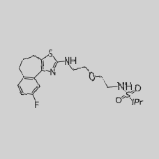 CC(C)S(=O)(=O)NCCOCCNc1nc2c(s1)CCCc1ccc(F)cc1-2